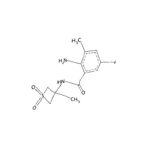 Cc1cc(I)cc(C(=O)NC2(C)CS(=O)(=O)C2)c1N